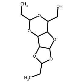 CCC1OC2OC3C(CO)OC(CC)OC3C2O1